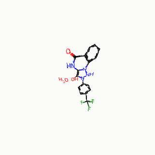 O.O=C1NC2=C(O)N(c3ccc(C(F)(F)F)cc3)NN2c2ccccc21